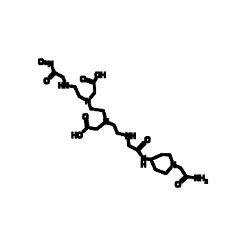 NC(=O)CN1CCC(NC(=O)CNCCN(CCN(CCNCC(=O)N=O)CC(=O)O)CC(=O)O)CC1